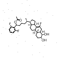 CC(=O)OC(CCC[C@@H](C)[C@H]1CC[C@H]2C3=C(F)C[C@H]4[C@@H](O)[C@@H](O)CC[C@]4(C)[C@H]3CC[C@]12C)c1c(F)cccc1F